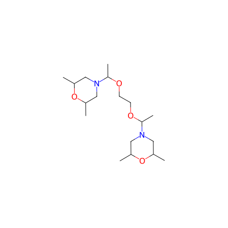 CC1CN(C(C)OCCOC(C)N2CC(C)OC(C)C2)CC(C)O1